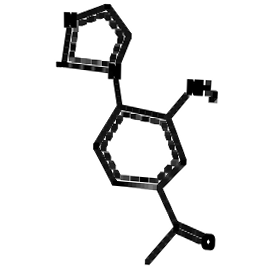 CC(=O)c1ccc(-n2[c]ncc2)c(N)c1